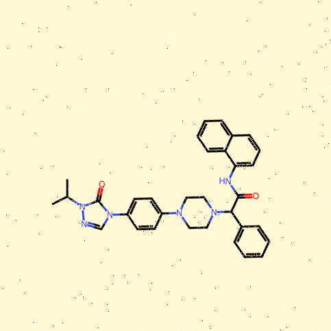 CC(C)n1ncn(-c2ccc(N3CCN(C(C(=O)Nc4cccc5ccccc45)c4ccccc4)CC3)cc2)c1=O